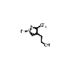 CC(C)n1cc(CCO)c(C(F)(F)F)n1